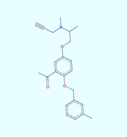 C#CCN(C)C(C)COc1ccc(OCc2cccc(C)c2)c(C(C)=O)c1